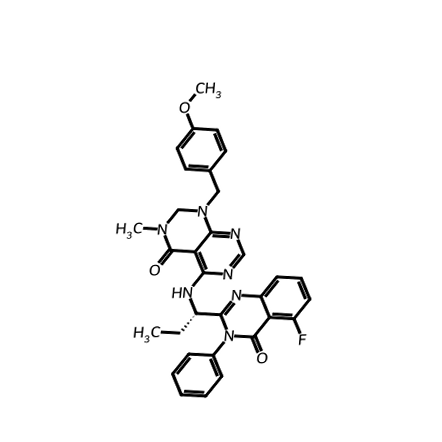 CC[C@H](Nc1ncnc2c1C(=O)N(C)CN2Cc1ccc(OC)cc1)c1nc2cccc(F)c2c(=O)n1-c1ccccc1